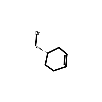 BrC[C@@H]1CC=CCC1